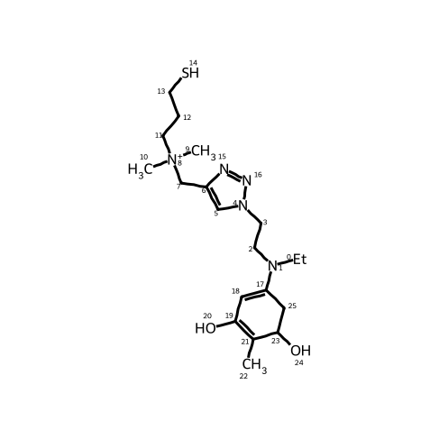 CCN(CCn1cc(C[N+](C)(C)CCCS)nn1)C1=CC(O)=C(C)C(O)C1